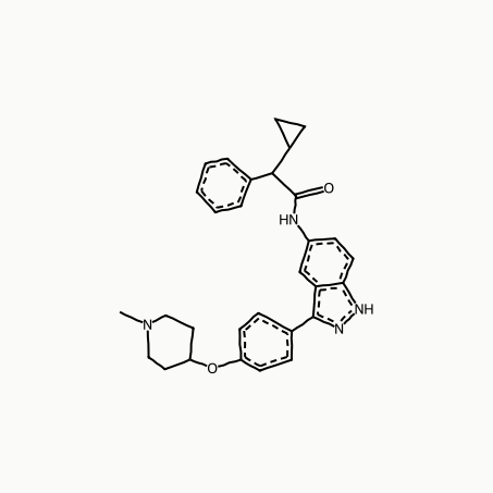 CN1CCC(Oc2ccc(-c3n[nH]c4ccc(NC(=O)C(c5ccccc5)C5CC5)cc34)cc2)CC1